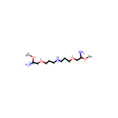 CCCOC(N)COCCCNCCCOCC(N)OCCC